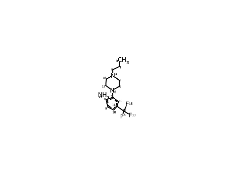 CCCN1CCN(c2cccc(C(F)(F)F)c2)CC1.N